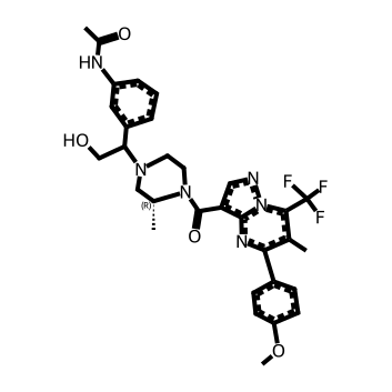 COc1ccc(-c2nc3c(C(=O)N4CCN(C(CO)c5cccc(NC(C)=O)c5)C[C@H]4C)cnn3c(C(F)(F)F)c2C)cc1